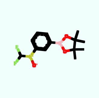 CC1(C)OB(c2cccc([S+]([O-])C(F)F)c2)OC1(C)C